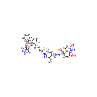 COc1cc(NC(=O)CCCc2cccc(C3(C(=O)OC4CN5CCC4CC5)CCCCC3)c2)c(Cl)cc1CNC[C@H](O)c1ccc(O)c2[nH]c(=O)ccc12